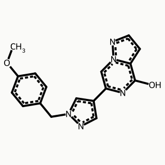 COc1ccc(Cn2cc(-c3cn4nccc4c(O)n3)cn2)cc1